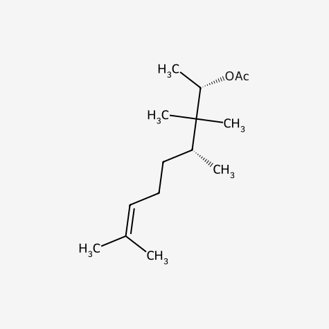 CC(=O)O[C@@H](C)C(C)(C)[C@H](C)CCC=C(C)C